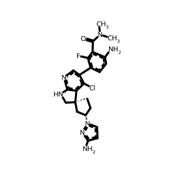 CN(C)C(=O)c1c(N)ccc(-c2cnc3c(c2Cl)[C@]2(CC[C@H](n4ccc(N)n4)C2)CN3)c1F